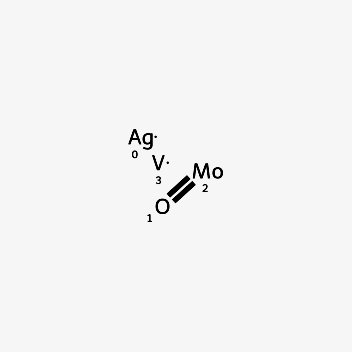 [Ag].[O]=[Mo].[V]